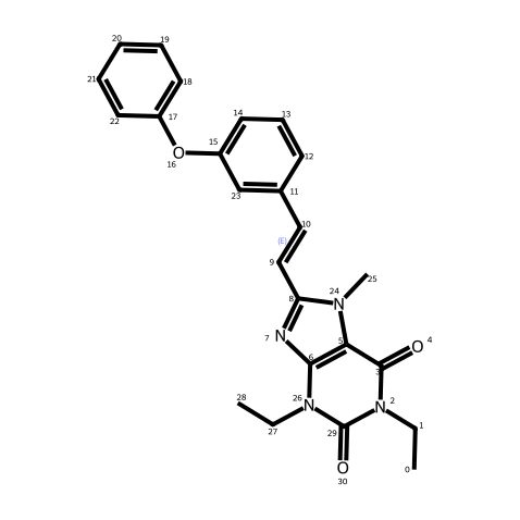 CCn1c(=O)c2c(nc(/C=C/c3cccc(Oc4ccccc4)c3)n2C)n(CC)c1=O